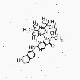 CC(C)n1c(=O)c2cnc(Nc3ccc4c(c3)CNCC4)nc2n1-c1nc(C(C)(C)C)nc(C(C)(C)C)n1